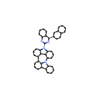 c1ccc2cc(-c3nc(-n4c5cccc6c7cccc8c9ccccc9n(c9cccc4c9c65)c78)nc4ccccc34)ccc2c1